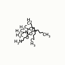 CCCCC(CCCC)(CCCC)COP(OCCN)N(C(C)C)C(C)C